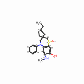 CCCCC1(CC)CN(c2ccccc2)c2cc(NC)c(O)cc2[S+]([O-])C1